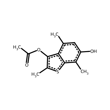 CC(=O)Oc1c(C)sc2c(C)c(O)cc(C)c12